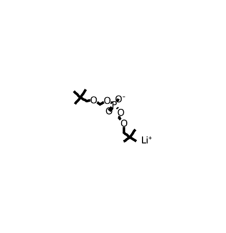 CC(C)(C)COCOP(=O)([O-])OCOCC(C)(C)C.[Li+]